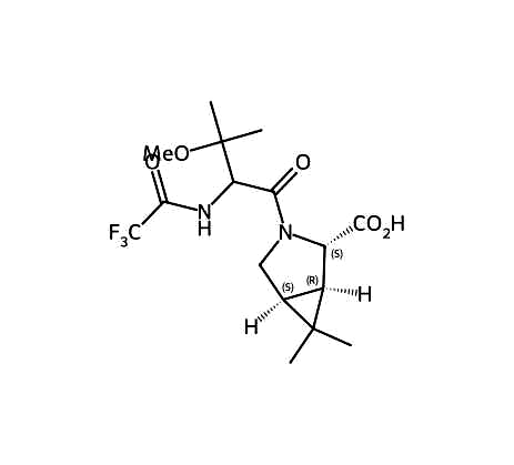 COC(C)(C)C(NC(=O)C(F)(F)F)C(=O)N1C[C@H]2[C@@H]([C@H]1C(=O)O)C2(C)C